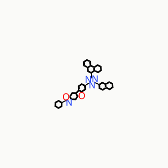 c1ccc(-c2nc3cc4oc5cc(-c6nc(-c7ccc8ccccc8c7)nc(-c7cc8ccccc8c8ccccc78)n6)ccc5c4cc3o2)cc1